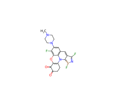 CN1CCN(c2cc3cc4c(n5c6c(oc(c2F)c3-5)C(=O)C(=O)CC6)=S(F)N=C4F)CC1